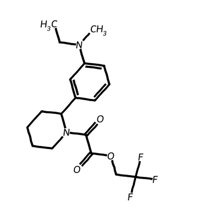 CCN(C)c1cccc(C2CCCCN2C(=O)C(=O)OCC(F)(F)F)c1